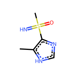 Cc1[nH]cnc1S(C)(=N)=O